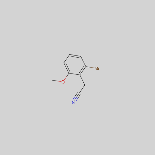 COc1cccc(Br)c1CC#N